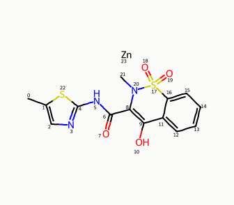 Cc1cnc(NC(=O)C2=C(O)c3ccccc3S(=O)(=O)N2C)s1.[Zn]